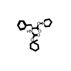 CC1(OC(=O)N[C@@H](Cc2ccccc2)C(=O)ON2CCCCC2)CCCCC1